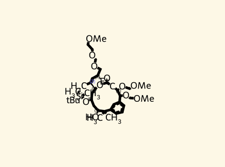 CC[C@H](/C=C(/C)[C@@H]1C[C@H](O[Si](C)(C)C(C)(C)C)C[C@H](O)C(C)(C)c2cccc(c2)C(OCOC)[C@H](OCOC)CC(=O)O1)COCOCCOC